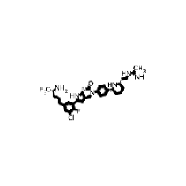 CC(=N)NCC[C@@H]1CCC[C@@H](c2ccc(-n3cc4cc(-c5cc(CCC[C@@H](N)C(F)(F)F)cc(Cl)c5F)[nH]c4nc3=O)cc2)N1